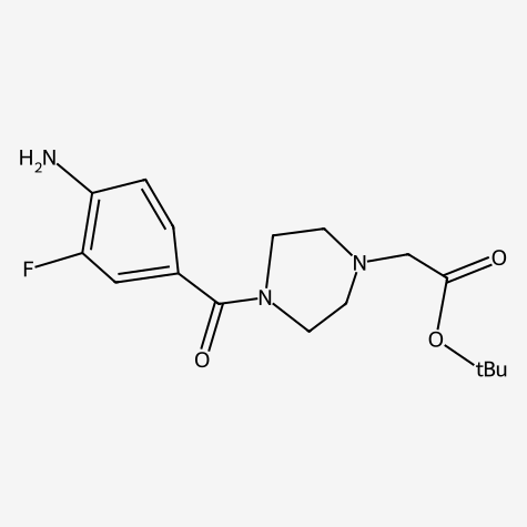 CC(C)(C)OC(=O)CN1CCN(C(=O)c2ccc(N)c(F)c2)CC1